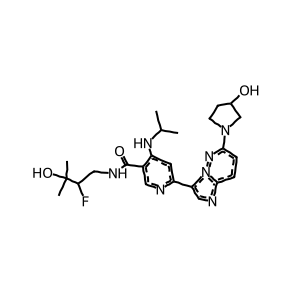 CC(C)Nc1cc(-c2cnc3ccc(N4CCC(O)C4)nn23)ncc1C(=O)NCC(F)C(C)(C)O